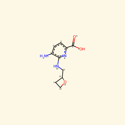 Nc1ccc(C(=O)O)nc1NCC1CCO1